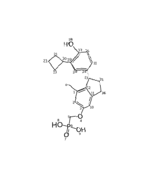 Cc1cc(OCP(=O)(O)O)cc2c1[C@H](c1ccc(O)c(C3CCC3)c1)CC2